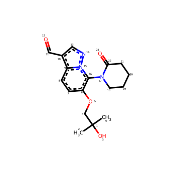 CC(C)(O)COc1ccc2c(C=O)cnn2c1N1CCCCC1=O